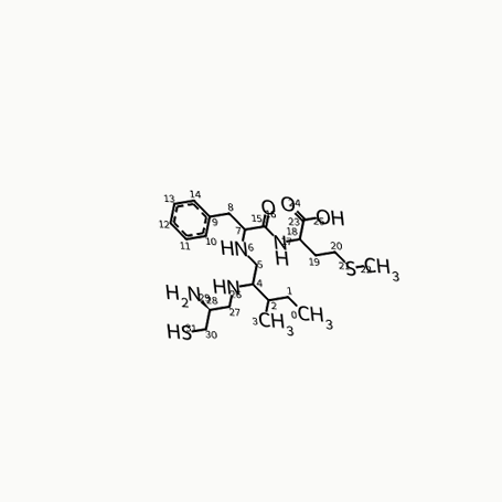 CCC(C)C(CNC(Cc1ccccc1)C(=O)NC(CCSC)C(=O)O)NC[C@H](N)CS